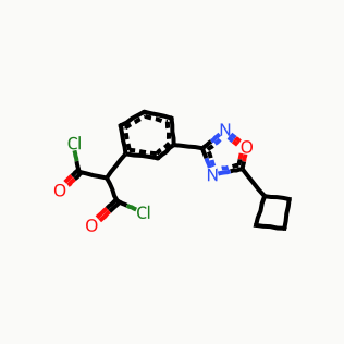 O=C(Cl)C(C(=O)Cl)c1cccc(-c2noc(C3CCC3)n2)c1